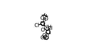 CC1(C)OB(c2cc(Cl)cc(NC(=O)c3cc(N4CCCS4(=O)=O)ccc3Cl)c2)OC1(C)C